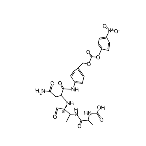 CC(NC(=O)O)C(=O)NC(C)[C@@H](C=O)NC(CC(N)=O)C(=O)Nc1ccc(COC(=O)Oc2ccc([N+](=O)[O-])cc2)cc1